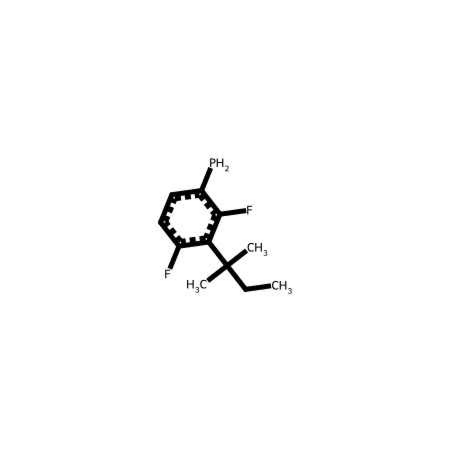 CCC(C)(C)c1c(F)ccc(P)c1F